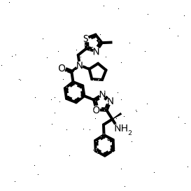 Cc1csc(CN(C(=O)c2cccc(-c3nnc([C@](C)(N)Cc4ccccc4)o3)c2)C2CCCC2)n1